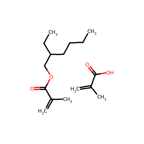 C=C(C)C(=O)O.C=C(C)C(=O)OCC(CC)CCCC